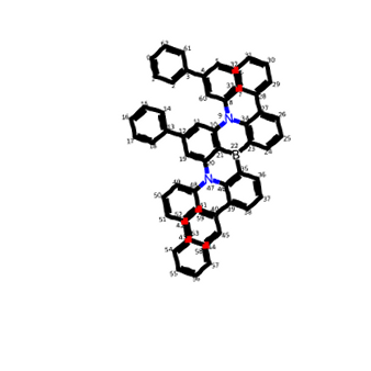 c1ccc(-c2cccc(N3c4cc(-c5ccccc5)cc5c4B(c4cccc(-c6ccccc6)c43)c3cccc(-c4ccccc4)c3N5c3cccc(-c4ccccc4)c3)c2)cc1